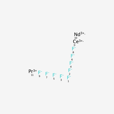 [Ce+3].[F-].[F-].[F-].[F-].[F-].[F-].[F-].[F-].[F-].[Nd+3].[Pr+3]